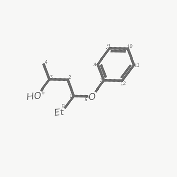 CCC(CC(C)O)Oc1c[c]ccc1